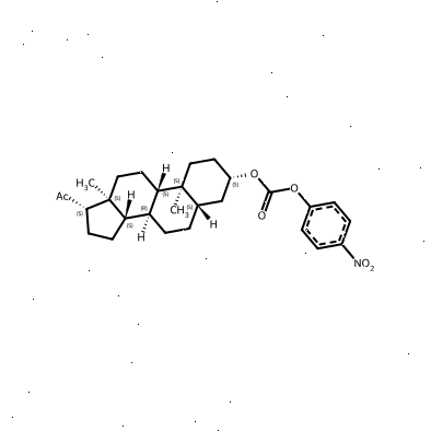 CC(=O)[C@H]1CC[C@H]2[C@@H]3CC[C@H]4C[C@@H](OC(=O)Oc5ccc([N+](=O)[O-])cc5)CC[C@]4(C)[C@H]3CC[C@]12C